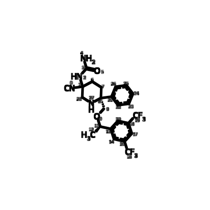 [C-]#[N+]C1(NC(N)=O)CC[C@@](CO[C@H](C)c2cc(C(F)(F)F)cc(C(F)(F)F)c2)(c2ccccc2)NC1